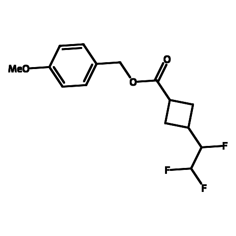 COc1ccc(COC(=O)C2CC(C(F)C(F)F)C2)cc1